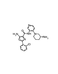 Nc1sc(-c2ccccc2Cl)nc1C(=O)Nc1cnccc1N1CCC[C@H](N)C1